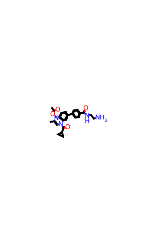 CC(=O)ON1C(C)=CN(C(=O)C2CC2)c2cc(-c3ccc(C(=O)NCCN)cc3)ccc21